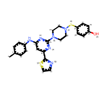 Cc1ccc(Nc2cc(-c3nccs3)nc(N3CCN(Sc4ccc(O)cc4)CC3)n2)cc1